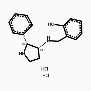 Cl.Cl.Oc1ccccc1CN[C@@H]1CCN[C@@H]1c1ccccc1